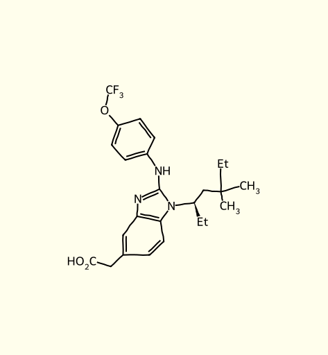 CC[C@H](CC(C)(C)CC)n1c(Nc2ccc(OC(F)(F)F)cc2)nc2cc(CC(=O)O)ccc21